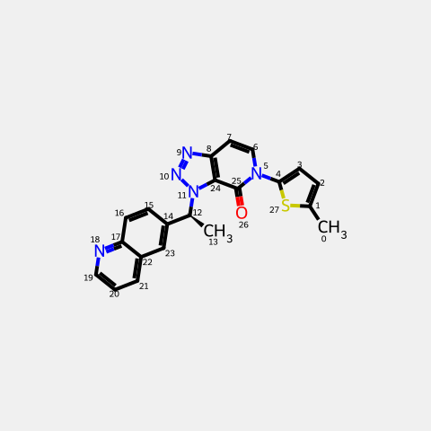 Cc1ccc(-n2ccc3nnn([C@@H](C)c4ccc5ncccc5c4)c3c2=O)s1